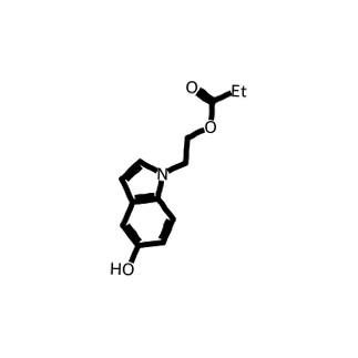 CCC(=O)OCCn1ccc2cc(O)ccc21